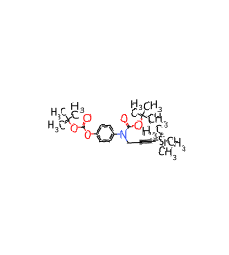 CC(C)(C)OC(=O)Oc1ccc(N(CC#C[Si](C)(C)C)C(=O)OC(C)(C)C)cc1